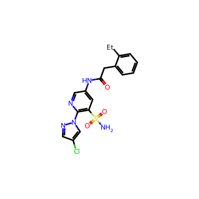 CCc1ccccc1CC(=O)Nc1cnc(-n2cc(Cl)cn2)c(S(N)(=O)=O)c1